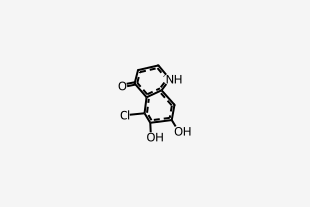 O=c1cc[nH]c2cc(O)c(O)c(Cl)c12